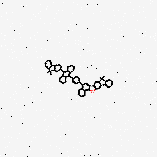 CC1(C)c2ccccc2-c2ccc(-c3c4ccccc4c(-c4ccc(-c5cc6c7cc8c(cc7oc6c6ccccc56)-c5ccccc5C8(C)C)cc4)c4ccccc34)cc21